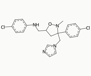 CN1OC(CNc2ccc(Cl)cc2)CC1(Cn1ccnc1)c1ccc(Cl)cc1